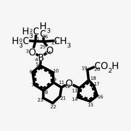 CC1(C)OB(c2ccc3c(c2)C(Oc2ccccc2CC(=O)O)CCC3)OC1(C)C